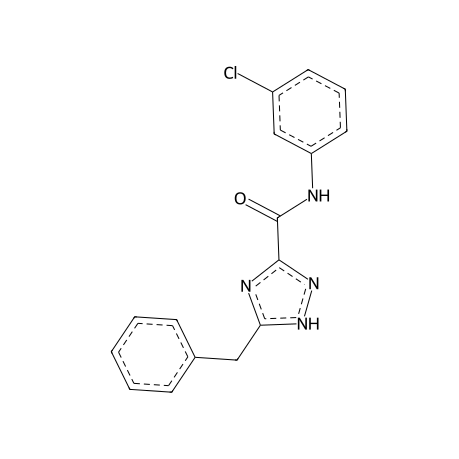 O=C(Nc1cccc(Cl)c1)c1n[nH]c(Cc2ccccc2)n1